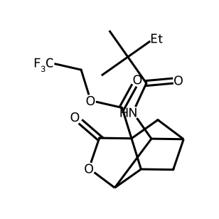 CCC(C)(C)C(=O)NC1C2CC3C1OC(=O)C3(C(=O)OCC(F)(F)F)C2